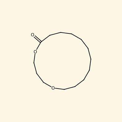 O=C1CCCCCCCCCCOCCCO1